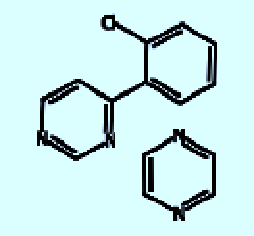 Clc1ccccc1-c1ccncn1.c1cnccn1